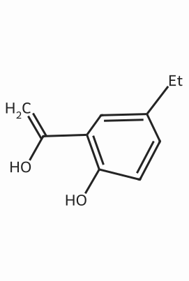 C=C(O)c1cc(CC)ccc1O